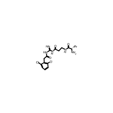 CC(C)[C@H](N)C(=O)NCCC(=O)NC(=N)NC(=O)Cc1c(Cl)cccc1Cl